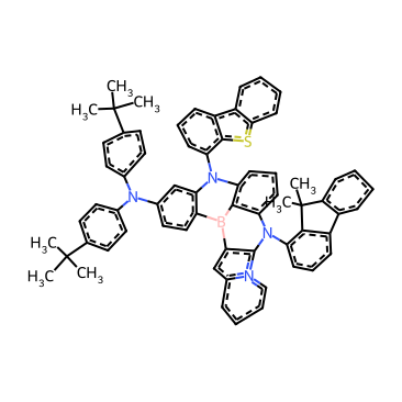 CC(C)(C)c1ccc(N(c2ccc(C(C)(C)C)cc2)c2ccc3c(c2)N(c2cccc4c2sc2ccccc24)c2cccc4c2B3c2cc3ccccn3c2N4c2cccc3c2C(C)(C)c2ccccc2-3)cc1